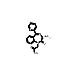 CC(C)(C)C(=O)CN1C(=O)[C@@H](N)N=C(c2ccccn2)c2ccccc21